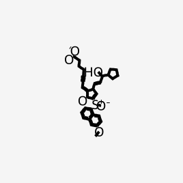 COC(=O)CCCC#CC=C1C(=O)C([S+]([O-])c2cccc3cc(OC)ccc23)=CC1C=CC(O)C1CCCC1